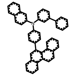 c1ccc(-c2cccc(N(c3ccc(-c4cc5ccccc5c5ccc6ccccc6c45)cc3)c3ccc4ccccc4c3)c2)cc1